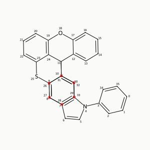 c1ccc(-n2ccc3ccc(C45c6ccccc6Oc6cccc(c64)Sc4ccccc45)cc32)cc1